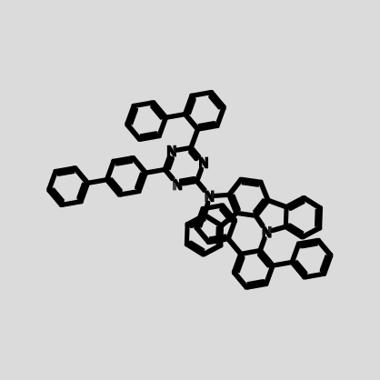 c1ccc(-c2ccc(-c3nc(-c4ccccc4-c4ccccc4)nc(-n4c5ccccc5c5c4ccc4c6ccccc6n(-c6c(-c7ccccc7)cccc6-c6ccccc6)c45)n3)cc2)cc1